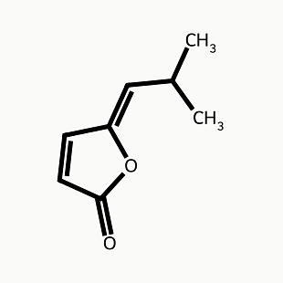 CC(C)C=C1C=CC(=O)O1